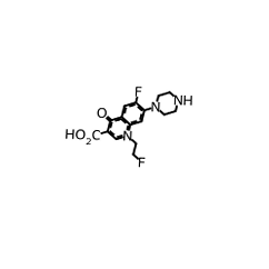 O=C(O)c1cn(CCF)c2cc(N3CCNCC3)c(F)cc2c1=O